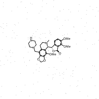 COc1ccc2c(c1OC)C(=O)O[C@@H]2[C@H]1c2c(c(CN3CCNCC3)c3c(c2OC)OCO3)CCN1C